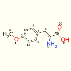 [CH2]Oc1ccc(C[C@H](N)C(=O)O)cc1